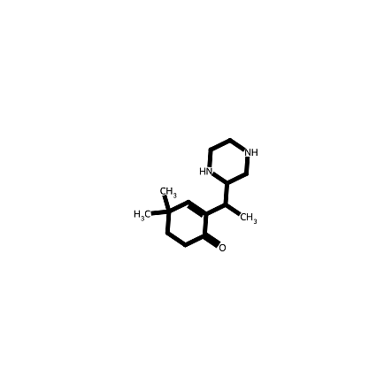 CC(C1=CC(C)(C)CCC1=O)C1CNCCN1